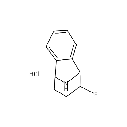 Cl.FC1CCC2NC1c1ccccc12